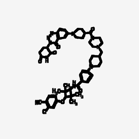 CC1(C)C(NC(=O)c2ccc(N3CCC(CN4CCN(C(=O)C5CCN(c6ccc7nnn(C8CCC(=O)NC8=O)c(=O)c7c6)CC5)CC4)CC3)cc2)C(C)(C)C1Oc1ccc(C#N)c(Cl)c1